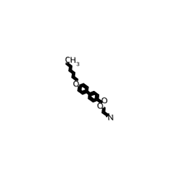 CCCCCCCOc1ccc(-c2ccc(C(=O)OCCC#N)cc2)cc1